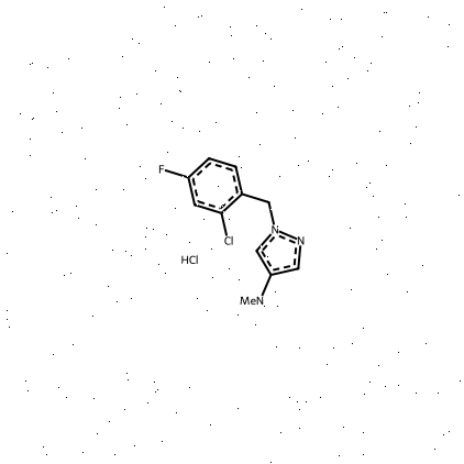 CNc1cnn(Cc2ccc(F)cc2Cl)c1.Cl